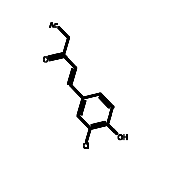 CC(=O)CC(=O)C=Cc1ccc(O)c(Cl)c1